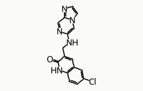 O=c1[nH]c2ccc(Cl)cc2cc1CNc1cn2ccnc2cn1